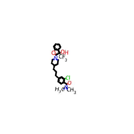 CN(C)C(=O)c1ccc(CCCC2CCN(C(=O)[C@](O)(c3ccccc3)C(F)(F)F)CC2)cc1Cl